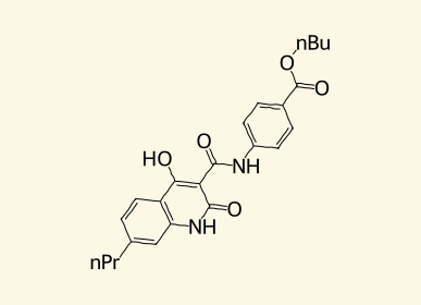 CCCCOC(=O)c1ccc(NC(=O)c2c(O)c3ccc(CCC)cc3[nH]c2=O)cc1